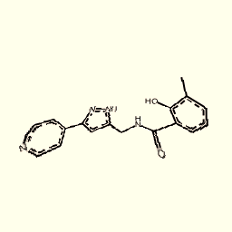 Cc1cccc(C(=O)NCc2cc(-c3ccncc3)n[nH]2)c1O